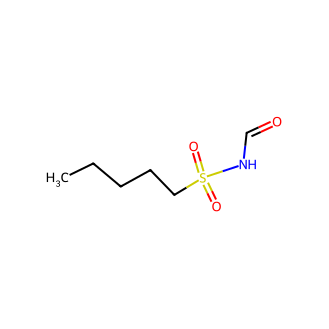 CCCCCS(=O)(=O)NC=O